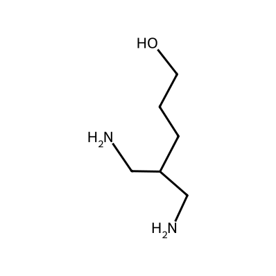 NCC(CN)CCCO